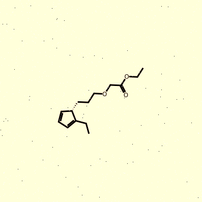 CCOC(=O)COCCC[C@H]1C=CC=C1CC